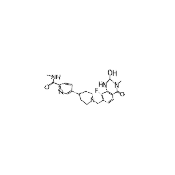 CNC(=O)c1ccc(C2CCN(Cc3ccc4c(c3F)NC(O)N(C)C4=O)CC2)cn1